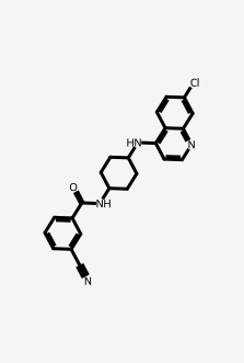 N#Cc1cccc(C(=O)NC2CCC(Nc3ccnc4cc(Cl)ccc34)CC2)c1